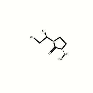 CCC(C)N[C@H]1CCN([C@@H](CC(C)C)C(C)=O)C1=O